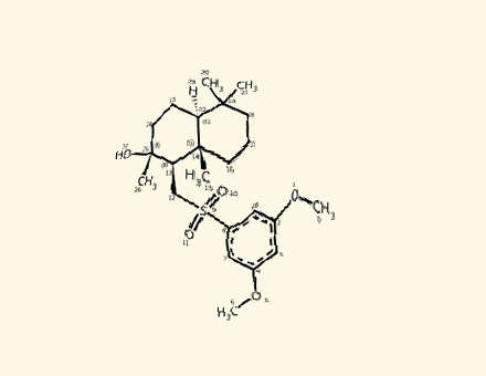 COc1cc(OC)cc(S(=O)(=O)C[C@@H]2[C@@]3(C)CCCC(C)(C)[C@@H]3CC[C@@]2(C)O)c1